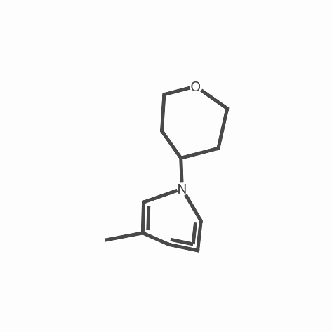 CC1=CN(C2CCOCC2)C=C=C1